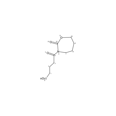 CCCCCCCCCCCC(=O)N1CCCCOC1=O